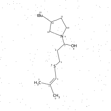 CC(C)=CSCCC(O)N1CCC(C(C)(C)C)C1